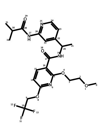 COCCOc1nc(OCC(F)(F)F)ccc1C(=O)NC(C)c1ccnc(NC(=O)C(C)C)c1